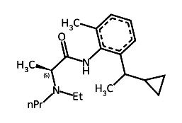 CCCN(CC)[C@@H](C)C(=O)Nc1c(C)cccc1C(C)C1CC1